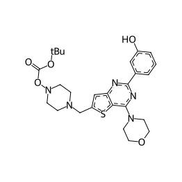 CC(C)(C)OC(=O)ON1CCN(Cc2cc3nc(-c4cccc(O)c4)nc(N4CCOCC4)c3s2)CC1